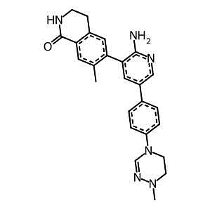 Cc1cc2c(cc1-c1cc(-c3ccc(N4C=NN(C)CC4)cc3)cnc1N)CCNC2=O